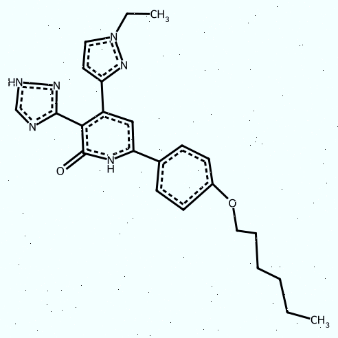 CCCCCCOc1ccc(-c2cc(-c3ccn(CC)n3)c(-c3nc[nH]n3)c(=O)[nH]2)cc1